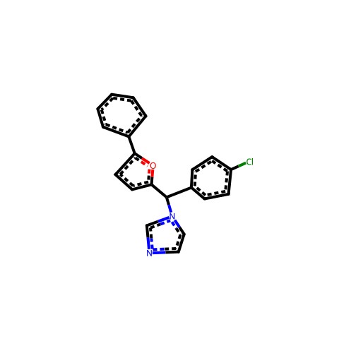 Clc1ccc(C(c2ccc(-c3ccccc3)o2)n2ccnc2)cc1